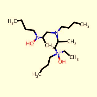 CCCCN(O)C(C)CN(CCCC)C(C)C[N+](O)(CC)CCCC